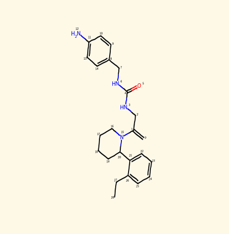 C=C(CNC(=O)NCc1ccc(N)cc1)N1CCCCC1c1ccccc1CC